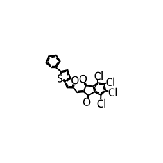 O=C1C(=Cc2cc3sc(-c4ccccc4)cc3o2)C(=O)c2c(Cl)c(Cl)c(Cl)c(Cl)c21